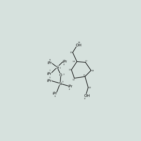 CC(C)[Si](O[Si](C(C)C)(C(C)C)C(C)C)(C(C)C)C(C)C.OCC1CCC(CO)CC1